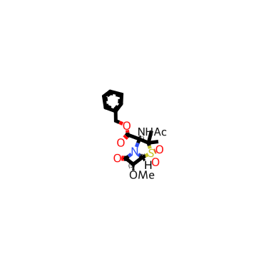 CO[C@H]1C(=O)N2[C@@H]1S(=O)(=O)C(C)(C)[C@]2(NC(C)=O)C(=O)OCc1ccccc1